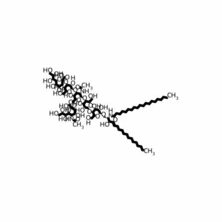 CCCCCCCCCCCCC/C=C/[C@@H](O)[C@H](CO[C@@H]1OC(CO)[C@@H](O[C@@H]2OC(CO)[C@H](O[C@@H]3OC(CO[C@]4(C(=O)O)CC(O)[C@@H](NC(C)=O)C([C@H](O)[C@H](O)CO)O4)[C@H](O)[C@H](O[C@@H]4OC(CO)[C@H](O)[C@H](O[C@]5(C(=O)O)CC(O)[C@@H](O)C([C@H](O)[C@H](O)CO)O5)C4O)C3NC(C)=O)[C@H](O)C2O)[C@H](O)C1O)NC(=O)CCCCCCCCCCCCCCCCCCC